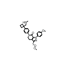 CNCC1(c2ccc(N3CCc4c(SOOC)nn(-c5ccc(OC)cc5)c4C3=O)cc2)CCC1